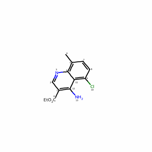 CCOC(=O)c1cnc2c(C)ccc(Cl)c2c1N